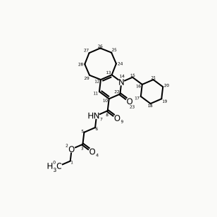 CCOC(=O)CCNC(=O)c1cc2c(n(CC3CCCCC3)c1=O)CCCCCC2